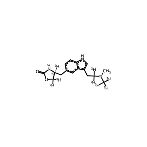 [2H]C([2H])([2H])N(C)C([2H])([2H])Cc1c[nH]c2ccc(C[C@]3([2H])NC(=O)OC3([2H])[2H])cc12